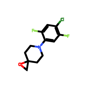 Fc1cc(N2CCC3(CC2)CO3)c(F)cc1Cl